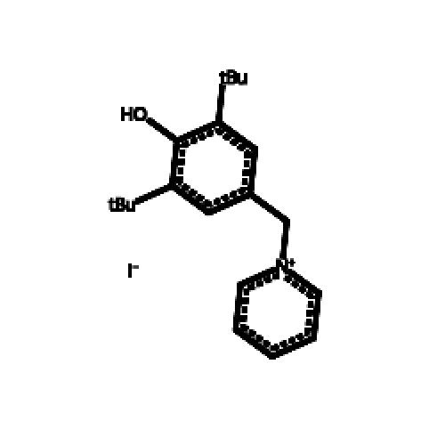 CC(C)(C)c1cc(C[n+]2ccccc2)cc(C(C)(C)C)c1O.[I-]